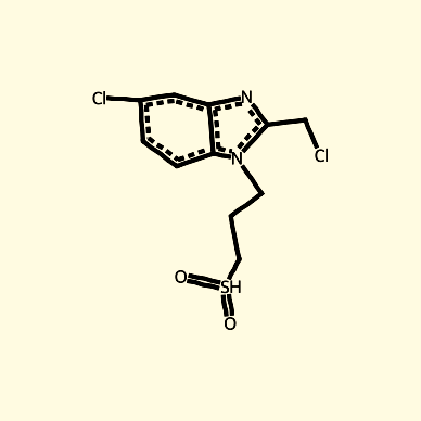 O=[SH](=O)CCCn1c(CCl)nc2cc(Cl)ccc21